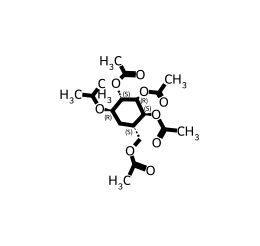 CC(=O)OC[C@@H]1C[C@@H](OC(C)C)[C@H](OC(C)=O)[C@H](OC(C)=O)[C@H]1OC(C)=O